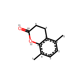 Cc1ccc(C)c2c1CCC(=O)O2